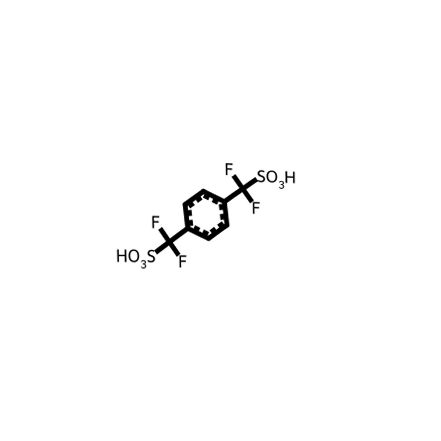 O=S(=O)(O)C(F)(F)c1ccc(C(F)(F)S(=O)(=O)O)cc1